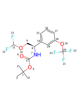 CC(C)(C)OC(=O)N[C@@H](COC(F)F)c1cccc(OC(F)(F)F)c1